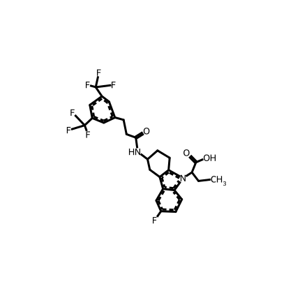 CCC(C(=O)O)n1c2c(c3cc(F)ccc31)CC(NC(=O)CCc1cc(C(F)(F)F)cc(C(F)(F)F)c1)CC2